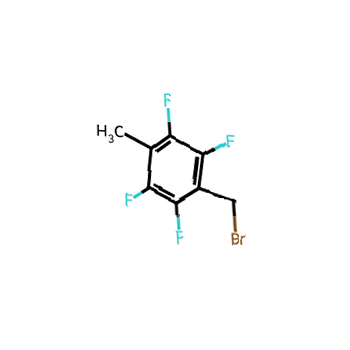 Cc1c(F)c(F)c(CBr)c(F)c1F